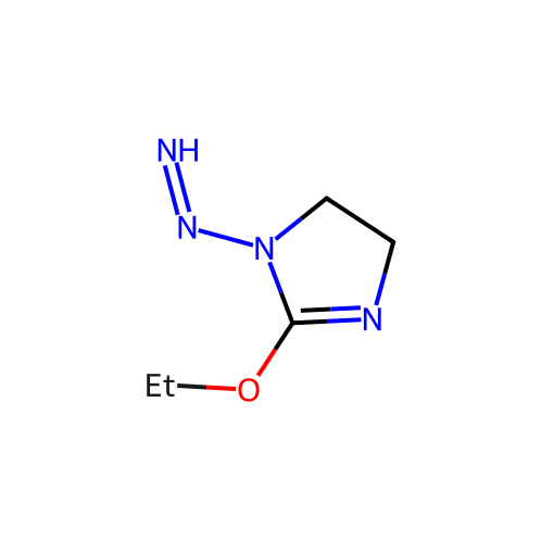 CCOC1=NCCN1N=N